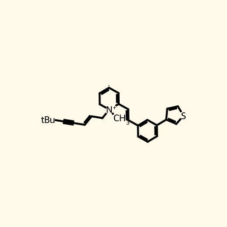 CC(C)(C)C#CC=CC[N+]1(C)CC=[C]C=C1/C=C/c1cccc(-c2ccsc2)c1